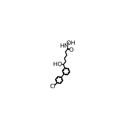 O=C(CCCCC(O)c1cccc(-c2ccc(Cl)cc2)c1)NO